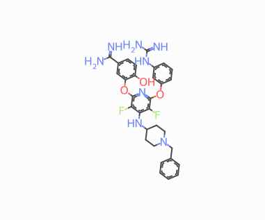 N=C(N)Nc1cccc(Oc2nc(Oc3cc(C(=N)N)ccc3O)c(F)c(NC3CCN(Cc4ccccc4)CC3)c2F)c1